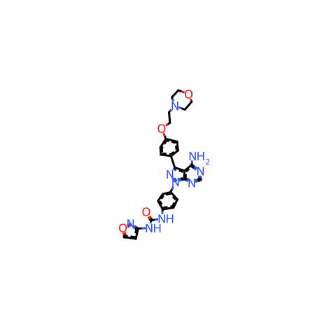 Nc1ncnc2c1c(-c1ccc(OCCN3CCOCC3)cc1)nn2-c1ccc(NC(=O)Nc2ccon2)cc1